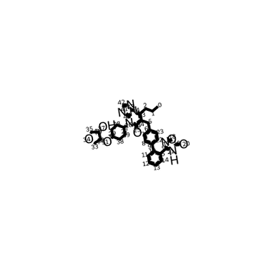 CCCc1c(Cc2ccc(-c3ccccc3-c3noc(=O)[nH]3)cc2)c(=O)n(C2CCC(O[C@@H]3COC[C@H]3O)CC2)c2ncnn12